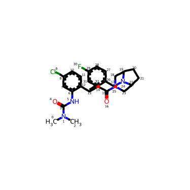 CN(C)C(=O)Nc1cc(Cl)ccc1C=CC(=O)N1CC2CCC(C1)N2Cc1ccc(F)cc1